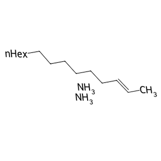 C/C=C/CCCCCCCCCCCC.N.N